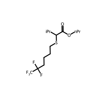 CCCOC(=O)C(SCCCCC(F)(F)C(F)(F)F)C(C)C